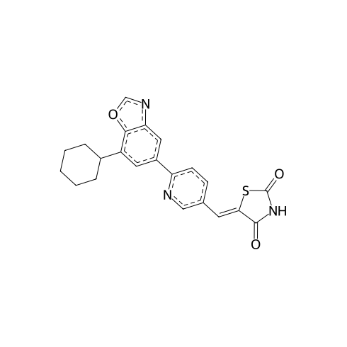 O=C1NC(=O)/C(=C/c2ccc(-c3cc(C4CCCCC4)c4ocnc4c3)nc2)S1